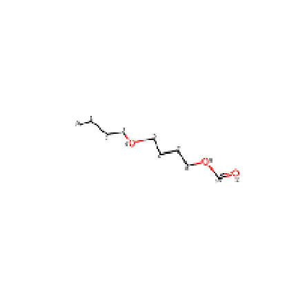 [CH2]CCCOCCCCOC=O